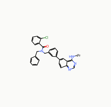 CC(C)Nc1ncnc2ccc(-c3cccc(CN(Cc4ccccc4)C(=O)c4ccccc4Cl)c3)cc12